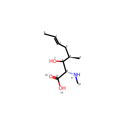 C/C=C/C[C@@H](C)C(O)[C@H](NC)C(=O)O